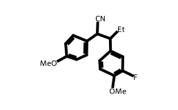 CCC(c1ccc(OC)c(F)c1)C(C#N)c1ccc(OC)cc1